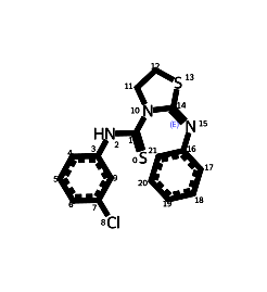 S=C(Nc1cccc(Cl)c1)N1CCS/C1=N/c1ccccc1